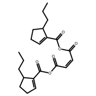 CCCC1CCC=C1C(=O)OC(=O)/C=C\C(=O)OC(=O)C1=CCCC1CCC